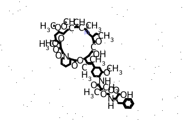 CCC1/C=C(\C)CC(C)CC(OC)C2OC(O)(C(=O)C(=O)N3CCCCC3C(=O)OC(C(C)=CC3CCC(NC(=O)C(C)(C)OC(=O)N[C@H](Cc4ccccc4)C(=O)O)C(OC)C3)C(C)C(O)CC1=O)C(C)CC2OC